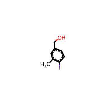 Cc1cc(CO)ccc1I